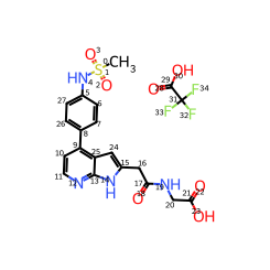 CS(=O)(=O)Nc1ccc(-c2ccnc3[nH]c(CC(=O)NCC(=O)O)cc23)cc1.O=C(O)C(F)(F)F